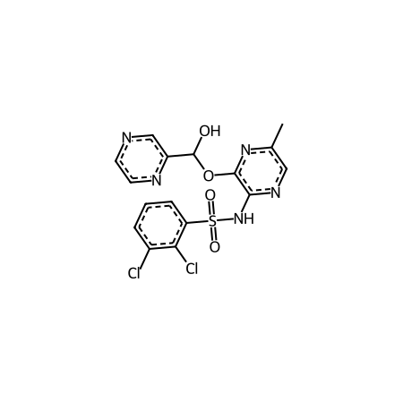 Cc1cnc(NS(=O)(=O)c2cccc(Cl)c2Cl)c(OC(O)c2cnccn2)n1